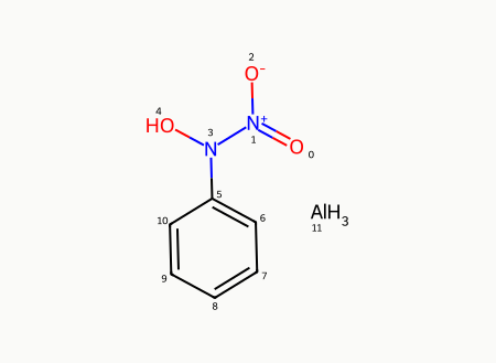 O=[N+]([O-])N(O)c1ccccc1.[AlH3]